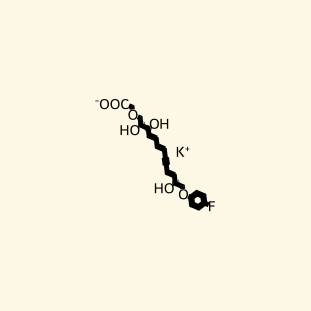 O=C([O-])COC[C@H](O)[C@@H](O)C=CC=CC#CC=C[C@@H](O)COc1ccc(F)cc1.[K+]